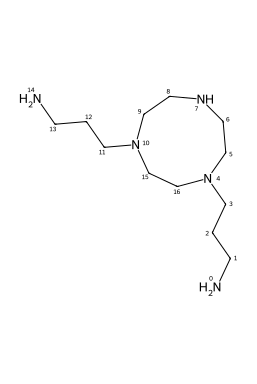 NCCCN1CCNCCN(CCCN)CC1